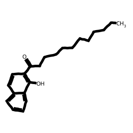 CCCCCCCCCCCC(=O)c1ccc2ccccc2c1O